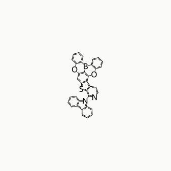 c1ccc2c(c1)Oc1cc3sc4c(-n5c6ccccc6c6ccccc65)nccc4c3c3c1B2c1ccccc1O3